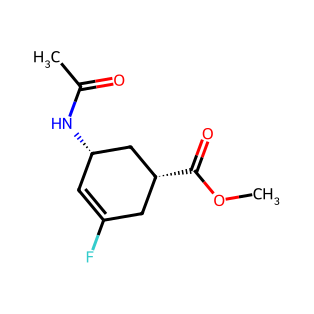 COC(=O)[C@@H]1CC(F)=C[C@H](NC(C)=O)C1